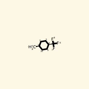 [CH2][C@H]1CC[C@@H](C(F)(F)F)CC1